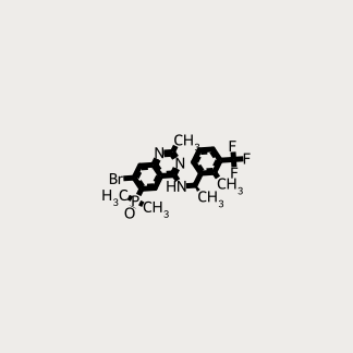 Cc1nc(N[C@H](C)c2cccc(C(F)(F)F)c2C)c2cc(P(C)(C)=O)c(Br)cc2n1